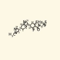 Cn1cc(-c2ccn3c(-c4cc(F)c(C(=O)NCC(F)(F)F)c(F)c4)cnc3c2)cn1